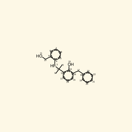 CC(C)(Pc1ccccc1CO)c1cccc(Cc2ccccc2)c1O